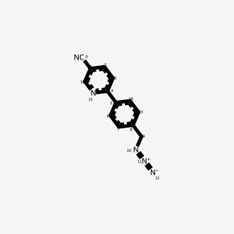 N#Cc1ccc(-c2ccc(CN=[N+]=[N-])cc2)nc1